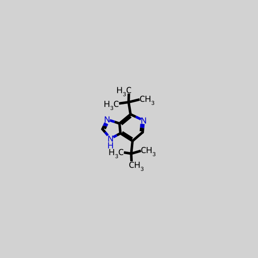 CC(C)(C)c1ncc(C(C)(C)C)c2[nH]cnc12